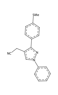 CSc1ccc(-c2nn(-c3ccccc3)cc2CC#N)cc1